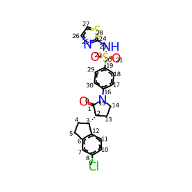 O=C1C([C@H]2CCc3cc(Cl)ccc32)CCN1c1ccc(S(=O)(=O)Nc2nccs2)cc1